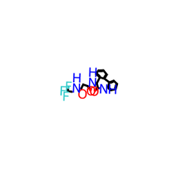 O=C(CC(=O)N[C@@H]1C(=O)Nc2ccccc2-c2ccccc21)NCC(F)(F)F